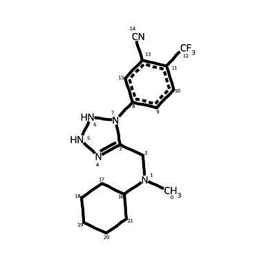 CN(CC1=NNNN1c1ccc(C(F)(F)F)c(C#N)c1)C1CCCCC1